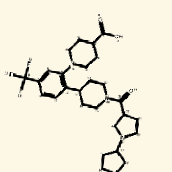 O=C(O)C1CCN(c2cc(C(F)(F)F)ccc2C2CCN(C(=O)C3CCN(C4CCCC4)C3)CC2)CC1